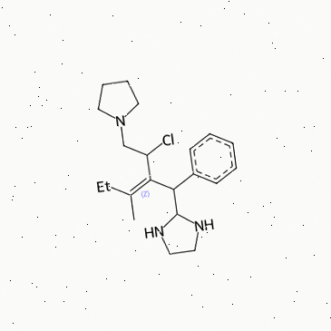 CC/C(C)=C(\C(Cl)CN1CCCC1)C(c1ccccc1)C1NCCN1